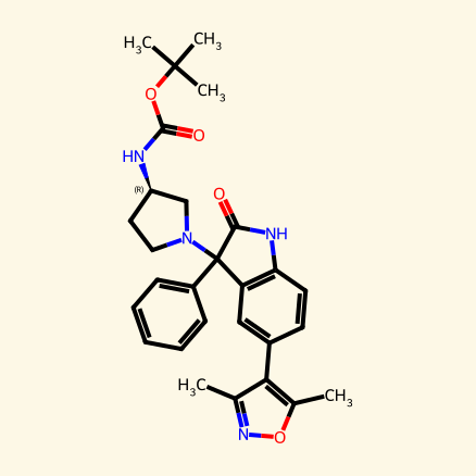 Cc1noc(C)c1-c1ccc2c(c1)C(c1ccccc1)(N1CC[C@@H](NC(=O)OC(C)(C)C)C1)C(=O)N2